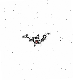 N#CSc1ccc(NC(=S)NC23CNCNCC(NC(=O)CCCC(=O)O)(CNCNC2)CNCNC3)cc1